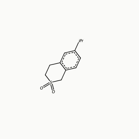 CC(C)c1ccc2c(c1)CCS(=O)(=O)C2